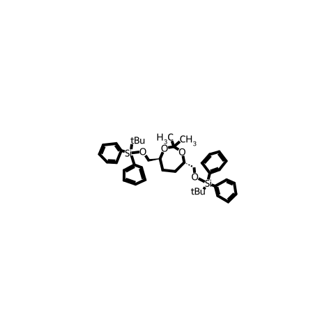 CC1(C)O[C@H](CO[Si](c2ccccc2)(c2ccccc2)C(C)(C)C)CC[C@@H](CO[Si](c2ccccc2)(c2ccccc2)C(C)(C)C)O1